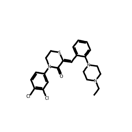 CCN1CCN(c2ccccc2C=C2SCCN(c3ccc(Cl)c(Cl)c3)C2=O)CC1